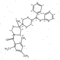 Cc1cc(C)c(C(=O)N2CCC(C)(N3CCC(N(Cc4ccccc4)c4ccccc4)CC3)CC2)c(C)c1